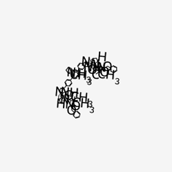 CC(C)C(NC(=O)Oc1ccccc1)C(=O)N1CCC[C@H]1c1ncc(-c2ccc(-c3ccc(-c4ccc5nc([C@@H]6CCCN6C(=O)[C@@H](NC(=O)Oc6ccccc6)C(C)C)[nH]c5c4)c4c3C3CCC4N3C)cc2)[nH]1